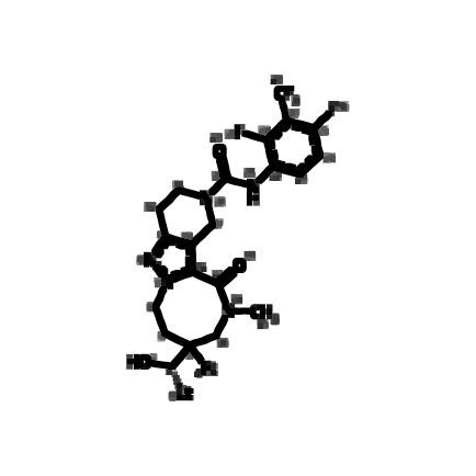 CC[C@H](O)C1(CC)CCn2nc3c(c2C(=O)N(C)C1)CN(C(=O)Nc1ccc(F)c(C(F)(F)F)c1F)CC3